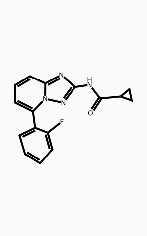 O=C(Nc1nc2cccc(-c3ccccc3F)n2n1)C1CC1